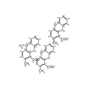 Cc1ccc2c(c1C(=O)[O-])Cc1ccccc1O2.Cc1ccc2c(c1C(=O)[O-])Cc1ccccc1O2.Cc1ccc2c(c1C(=O)[O-])Cc1ccccc1O2.[Cr+3]